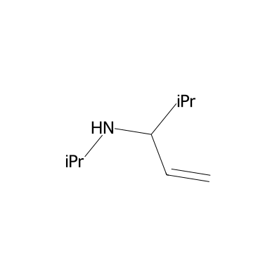 C=CC(NC(C)C)C(C)C